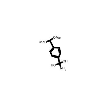 COC(OC)c1ccc(C(N)(O)O)cc1